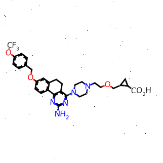 Nc1nc2c(c(N3CCN(CCOCC4CC4C(=O)O)CC3)n1)CCc1cc(OCc3ccc(OC(F)(F)F)cc3)ccc1-2